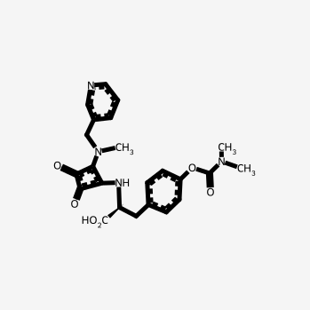 CN(C)C(=O)Oc1ccc(C[C@H](Nc2c(N(C)Cc3cccnc3)c(=O)c2=O)C(=O)O)cc1